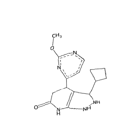 COc1nccc(C2CC(=O)NC3=C2C(C2CCC2)NN3)n1